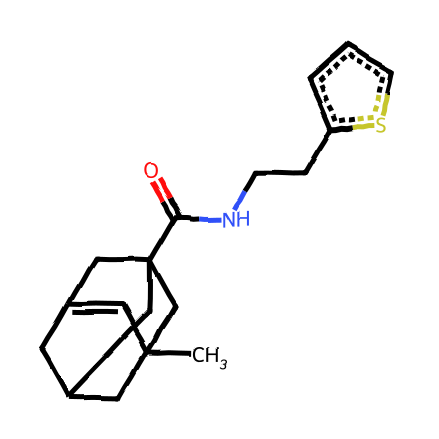 CC12C=C3CC(C1)CC(C(=O)NCCc1cccs1)(C3)C2